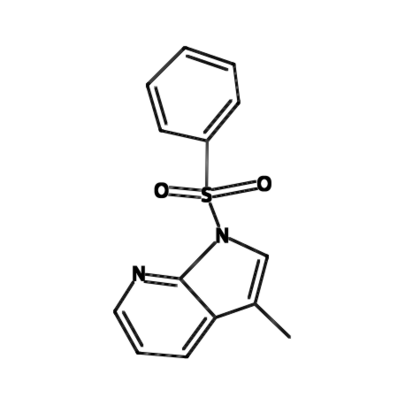 Cc1cn(S(=O)(=O)c2ccccc2)c2ncccc12